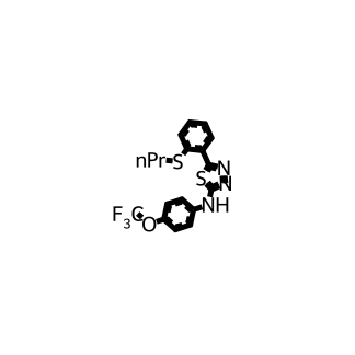 CCCSc1ccccc1-c1nnc(Nc2ccc(OC(F)(F)F)cc2)s1